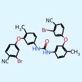 Cc1ccc(NC(=O)Nc2ccc(C)c(Oc3ccc(C#N)c(Br)c3)c2)cc1Oc1ccc(C#N)c(Br)c1